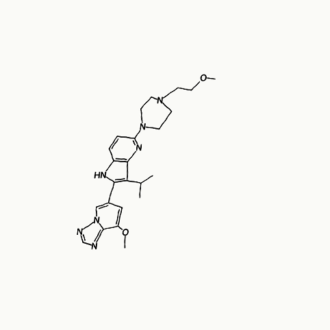 COCCN1CCN(c2ccc3[nH]c(-c4cc(OC)c5ncnn5c4)c(C(C)C)c3n2)CC1